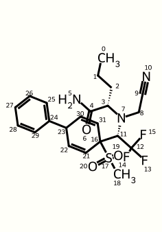 CCC[C@@H](C(N)=O)N(CC#N)[C@H](C(F)(F)F)C1(S(C)(=O)=O)C=CC(c2ccccc2)C=C1